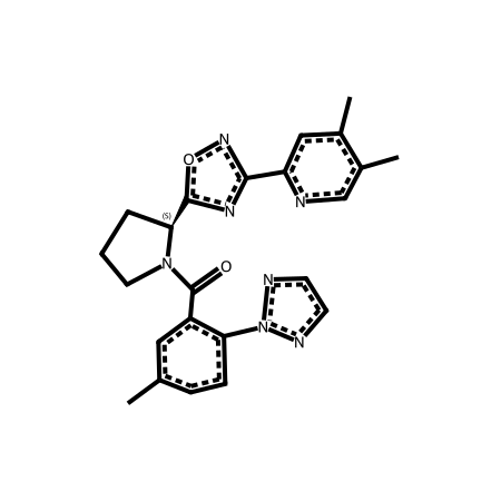 Cc1ccc(-n2nccn2)c(C(=O)N2CCC[C@H]2c2nc(-c3cc(C)c(C)cn3)no2)c1